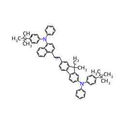 CC1(C)c2cc(/C=C/c3ccc(N(c4ccccc4)c4ccc([Si](C)(C)C)cc4)c4ccccc34)ccc2-c2ccc(N(c3ccccc3)c3ccc([Si](C)(C)C)cc3)cc21